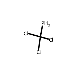 PC(Cl)(Cl)Cl